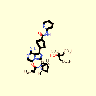 C=CC(=O)N1[C@@H]2CC[C@@H](C2)[C@H]1c1nc(-c2ccc(C(=O)Nc3ccccn3)cc2)c2c(N)nccn12.O=C(O)CC(O)(CC(=O)O)C(=O)O